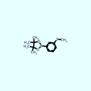 CSc1cccc(B2OC(C)(C)C(C)(C)O2)c1